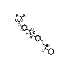 CCC(CC)OC(=O)Oc1ccc(C(=O)NS(=O)(=O)c2ccc(CCNC(=O)C3CCCCC3)cc2)cn1